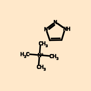 C[N+](C)(C)C.c1c[nH]nn1